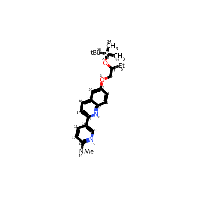 CCC(COc1ccc2nc(-c3ccc(NC)nc3)ccc2c1)O[Si](C)(C)C(C)(C)C